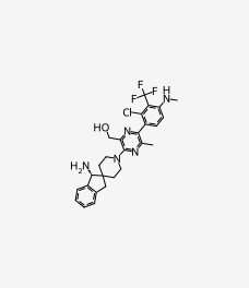 CNc1ccc(-c2nc(CO)c(N3CCC4(CC3)Cc3ccccc3[C@H]4N)nc2C)c(Cl)c1C(F)(F)F